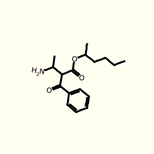 CCCCC(C)OC(=O)C(C(=O)c1ccccc1)C(C)N